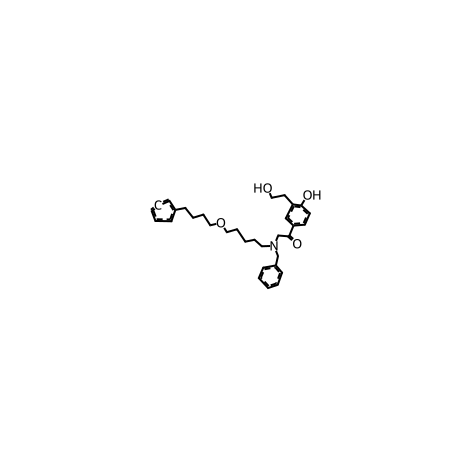 O=C(CN(CCCCCOCCCCc1ccccc1)Cc1ccccc1)c1ccc(O)c(CCO)c1